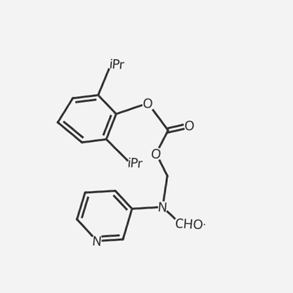 CC(C)c1cccc(C(C)C)c1OC(=O)OCN([C]=O)c1cccnc1